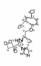 O=C(COc1ccc(Cl)cc1Cl)NC(n1ccnc1)C(Cl)(Cl)CCl